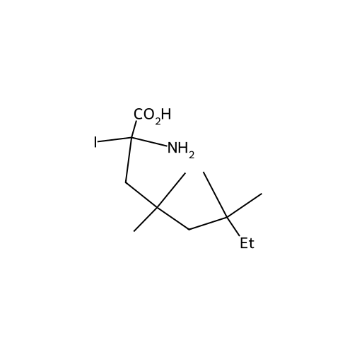 CCC(C)(C)CC(C)(C)CC(N)(I)C(=O)O